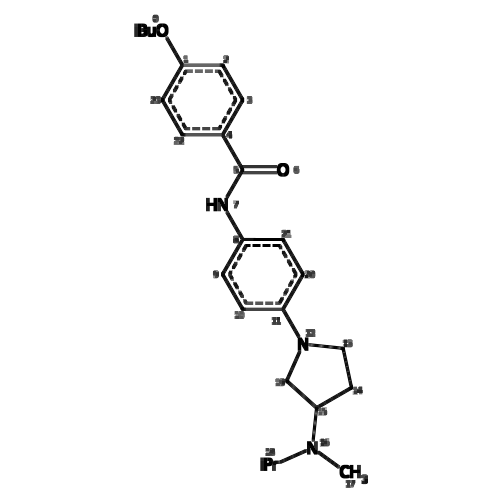 CC(C)COc1ccc(C(=O)Nc2ccc(N3CCC(N(C)C(C)C)C3)cc2)cc1